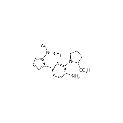 CC(=O)N(C)c1cccn1-c1ccc(N)c(N2CCCC2C(=O)O)n1